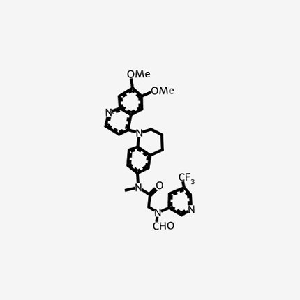 COc1cc2nccc(N3CCCc4cc(N(C)C(=O)CN(C=O)c5cncc(C(F)(F)F)c5)ccc43)c2cc1OC